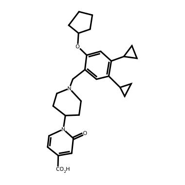 O=C(O)c1ccn(C2CCN(Cc3cc(C4CC4)c(C4CC4)cc3OC3CCCC3)CC2)c(=O)c1